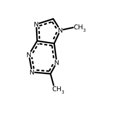 Cc1nnc2ncn(C)c2n1